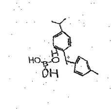 Cc1ccc([I+]c2ccc(C(C)C)cc2)cc1.OB(O)O